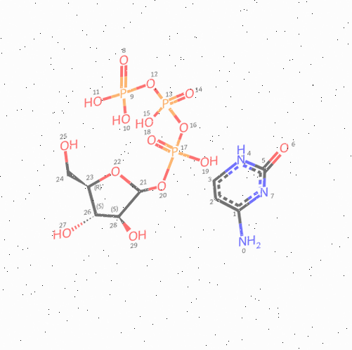 Nc1cc[nH]c(=O)n1.O=P(O)(O)OP(=O)(O)OP(=O)(O)OC1O[C@H](CO)[C@@H](O)[C@@H]1O